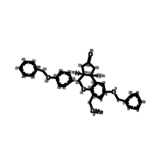 COCc1cc(OCc2ccccc2)cc2c1O[C@H](c1ccc(OCc3ccccc3)cc1)[C@@H]1CC(=O)C[C@H]21